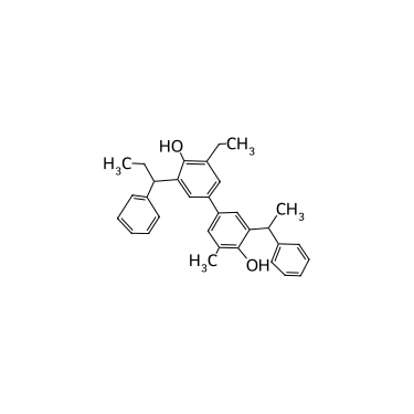 CCc1cc(-c2cc(C)c(O)c(C(C)c3ccccc3)c2)cc(C(CC)c2ccccc2)c1O